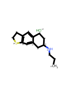 CCCNC1CCc2cc3c(cc2C1)SCC3.Cl